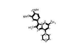 COc1ccc(-c2c(C)nc3c(N4CCOCC4)cc(C)nn23)cc1OC